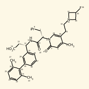 Cc1cc(=O)n([C@@H](CC(C)C)C(=O)N[C@@H](CC(=O)O)c2cccc(-c3c(C)cccc3C)c2)cc1CCN1CC(F)C1